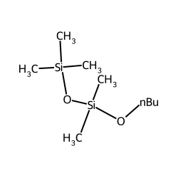 CCCCO[Si](C)(C)O[Si](C)(C)C